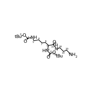 CC(C)(C)OC(=O)NCCCCC(NC(=O)OC(C)(C)C)C(=O)NCCCN